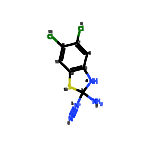 N#[N+]C1(N)Nc2cc(Cl)c(Cl)cc2S1